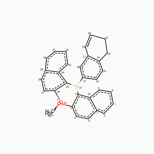 COc1ccc2ccccc2c1B(c1ccc2c(c1)C=CCC2)c1c(OC)ccc2ccccc12